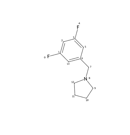 Fc1cc(F)cc(CN2CCCC2)c1